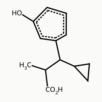 CC(C(=O)O)C(c1cccc(O)c1)C1CC1